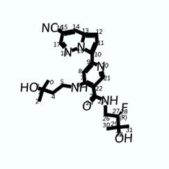 CC(C)(O)CCNc1cc(-c2ccc3cc(C#N)cnn23)ncc1C(=O)NC[C@@H](F)C(C)(C)O